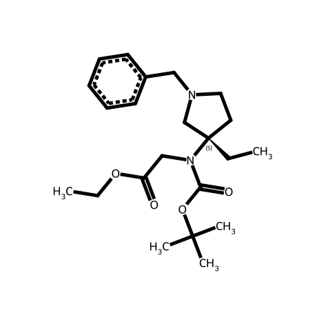 CCOC(=O)CN(C(=O)OC(C)(C)C)[C@@]1(CC)CCN(Cc2ccccc2)C1